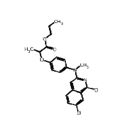 CCCOC(=O)C(C)Oc1ccc(N(C)c2cc3ccc(Cl)cc3c(Cl)n2)cc1